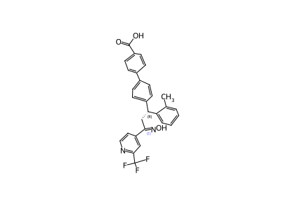 Cc1ccccc1[C@H](C/C(=N\O)c1ccnc(C(F)(F)F)c1)c1ccc(-c2ccc(C(=O)O)cc2)cc1